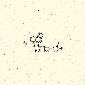 Cc1ccc(-n2nccn2)c(C(=O)N[C@@H](C)Cn2cc(-c3ccc(F)c(F)c3)cn2)n1